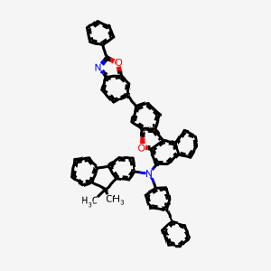 CC1(C)c2ccccc2-c2ccc(N(c3ccc(-c4ccccc4)cc3)c3cc4ccccc4c4c3oc3cc(-c5ccc6nc(-c7ccccc7)oc6c5)ccc34)cc21